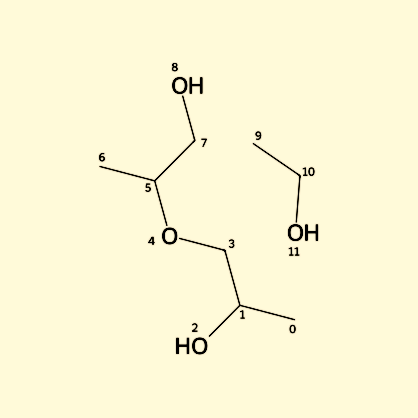 CC(O)COC(C)CO.CCO